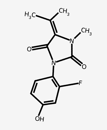 CC(C)=C1C(=O)N(c2ccc(O)cc2F)C(=O)N1C